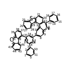 c1ccc(-c2nc(-c3ccc4nc(-c5ccccc5)c5ccc6sc7ccccc7c6c5c4c3)cc(-c3cccc4oc5ccccc5c34)n2)cc1